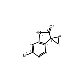 O=C1Nc2cc(Br)ccc2C12CC2